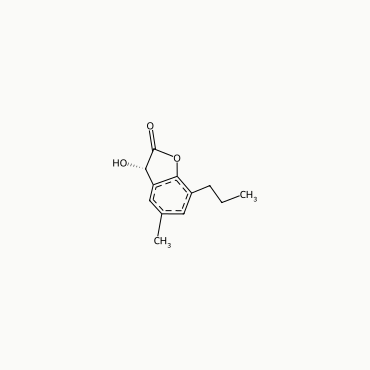 CCCc1cc(C)cc2c1OC(=O)[C@H]2O